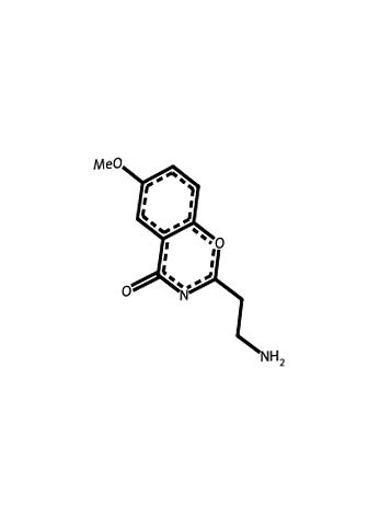 COc1ccc2oc(CCN)nc(=O)c2c1